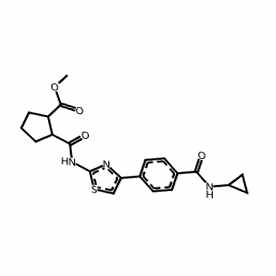 COC(=O)C1CCCC1C(=O)Nc1nc(-c2ccc(C(=O)NC3CC3)cc2)cs1